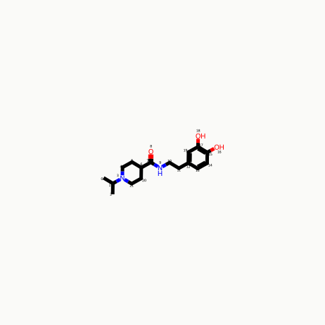 CC(C)N1CCC(C(=O)NCCc2ccc(O)c(O)c2)CC1